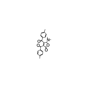 Cc1ccc(C(=O)C2=C(C(=O)c3ccc(C)cc3)C(N(C)C)OC2=O)cc1